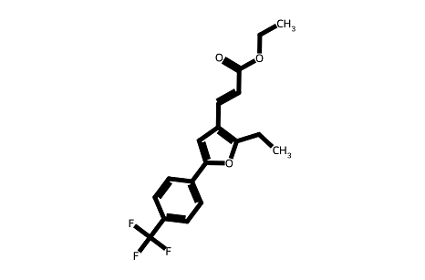 CCOC(=O)/C=C/c1cc(-c2ccc(C(F)(F)F)cc2)oc1CC